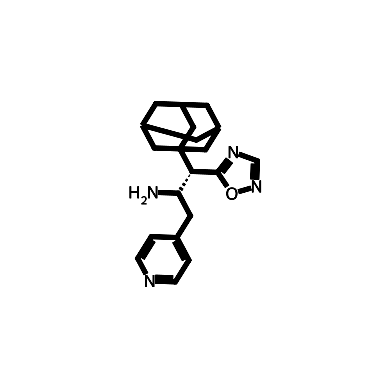 NC(Cc1ccncc1)[C@@H](c1ncno1)C12CC3CC(CC(C3)C1)C2